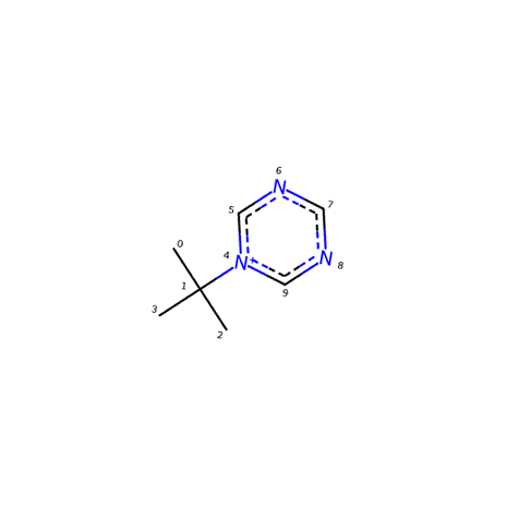 CC(C)(C)[n+]1cncnc1